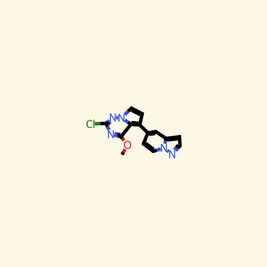 COc1nc(Cl)nn2ccc(-c3ccn4nccc4c3)c12